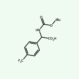 CC(C)(C)OC(=O)NC(C(=O)O)c1ccc(C(F)(F)F)cc1